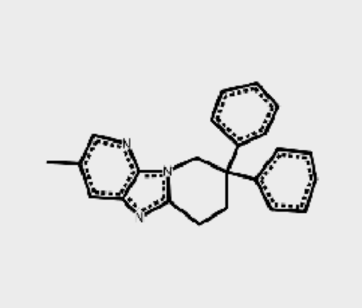 Cc1cnc2c(c1)nc1n2CC(c2ccccc2)(c2ccccc2)CC1